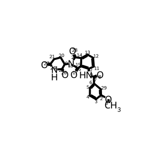 COc1cccc(C(=O)Nc2cccc3c2C(=O)N(C2CCC(=O)NC2=O)C3=O)c1